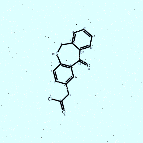 O=C(Cl)Cc1ccc2c(c1)C(=O)c1ccccc1CS2